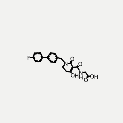 O=C(O)CNC(=O)C1=C(O)CCN(Cc2ccc(-c3ccc(F)cc3)cc2)C1=O